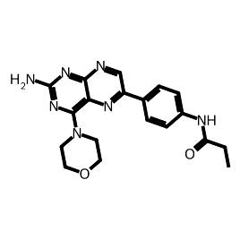 CCC(=O)Nc1ccc(-c2cnc3nc(N)nc(N4CCOCC4)c3n2)cc1